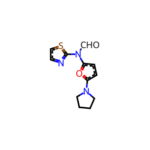 O=CN(c1ccc(N2CCCC2)o1)c1nccs1